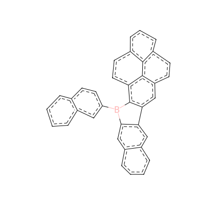 c1ccc2cc(B3c4cc5ccccc5cc4-c4cc5ccc6cccc7ccc(c43)c5c67)ccc2c1